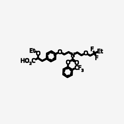 CCOC(Cc1ccc(OCCN(CCOCC(F)(F)CC)C(=O)Oc2ccccc2C(F)(F)F)cc1)C(=O)O